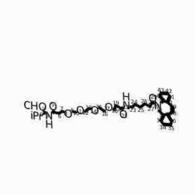 CC(C)[C@@H](C=O)NC(=O)CCOCCOCCOCCOCCC(=O)NCCCCCC(=O)N1Cc2ccccc2C#Cc2ccccc21